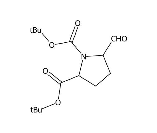 CC(C)(C)OC(=O)C1CCC(C=O)N1C(=O)OC(C)(C)C